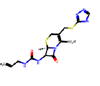 C=CCNC(=O)NC1C(=O)N2C(C(=O)O)=C(CSc3nnc[nH]3)CS[C@H]12